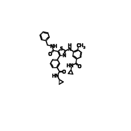 Cc1ccc(C(=O)NC2CC2)cc1Nc1nc(-c2cccc(C(=O)NC3CC3)c2)c(C(=O)NCc2ccccc2)s1